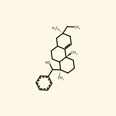 CC[C@@]1(C)CC=C2C(CCC3[C@](C)(C(O)c4ccccc4)CCC[C@@]23C)C1